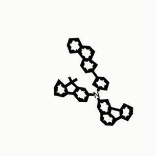 CC1(C)c2ccccc2-c2ccc(N(c3cccc(-c4ccc5c(ccc6ccccc65)c4)c3)c3cc4c5c(cccc5c3)-c3ccccc3-4)cc21